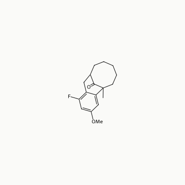 COc1cc(F)c2c(c1)C1(C)CCCCCC(C2)C1=O